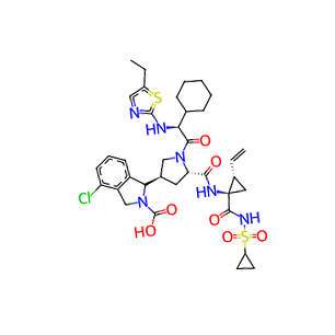 C=C[C@@H]1C[C@]1(NC(=O)[C@@H]1C[C@@H](C2c3cccc(Cl)c3CN2C(=O)O)CN1C(=O)[C@@H](Nc1ncc(CC)s1)C1CCCCC1)C(=O)NS(=O)(=O)C1CC1